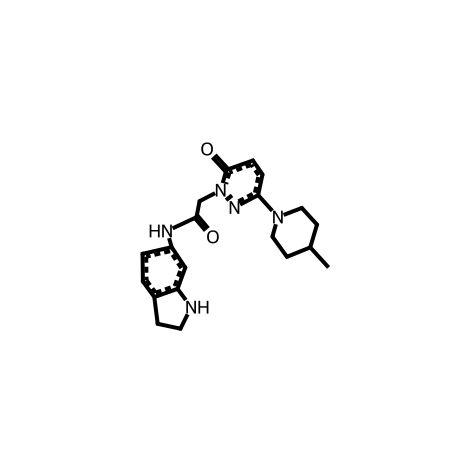 CC1CCN(c2ccc(=O)n(CC(=O)Nc3ccc4c(c3)NCC4)n2)CC1